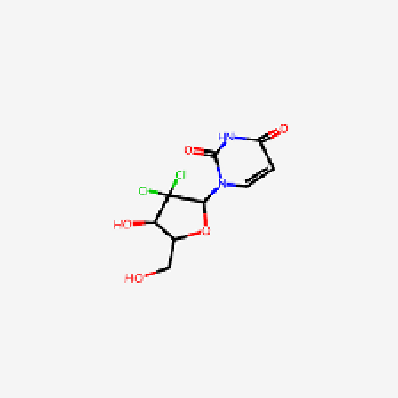 O=c1ccn(C2OC(CO)[C@@H](O)C2(Cl)Cl)c(=O)[nH]1